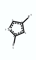 Fc1[c]sc(F)c1